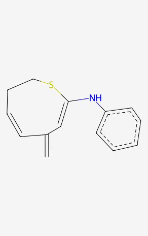 C=C1/C=C\CCS/C(Nc2ccccc2)=C\1